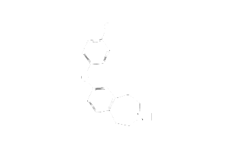 Clc1ccc(Oc2ccc3c(c2)CCNCC3)cc1